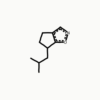 CC(C)CC1CCc2cnoc21